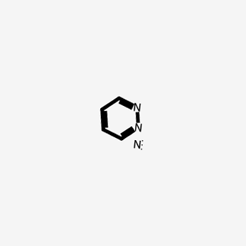 [N].c1ccnnc1